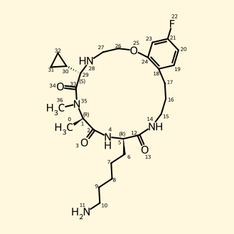 C[C@@H]1C(=O)N[C@H](CCCCCN)C(=O)NCCCc2ccc(F)cc2OCCN[C@@H](C2CC2)C(=O)N1C